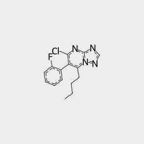 CCCCc1c(-c2ccccc2F)c(Cl)nc2ncnn12